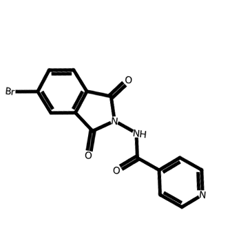 O=C(NN1C(=O)c2ccc(Br)cc2C1=O)c1ccncc1